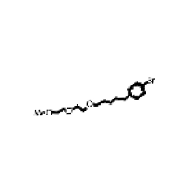 COCCOCCOCCCCCc1ccc(Br)cc1